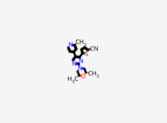 Cc1cc(-c2cnc(N3CC(C)O[C@@H](C)C3)nc2-c2ccc(C#N)s2)ccn1